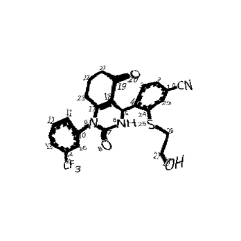 N#Cc1ccc(C2NC(=O)N(c3cccc(C(F)(F)F)c3)C3=C2C(=O)CCC3)c(SCCO)c1